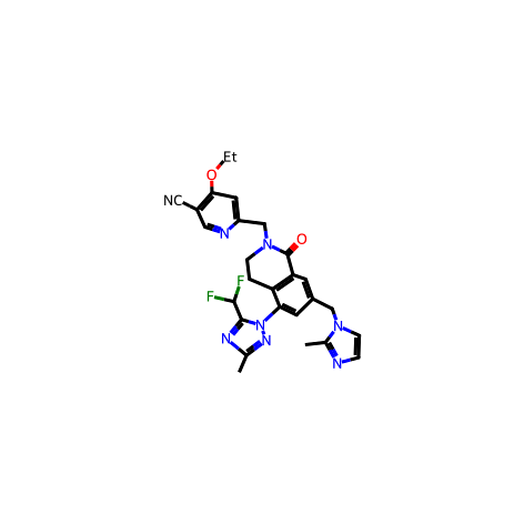 CCOc1cc(CN2CCc3c(cc(Cn4ccnc4C)cc3-n3nc(C)nc3C(F)F)C2=O)ncc1C#N